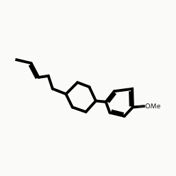 C/C=C/CCC1CCC(c2ccc(OC)cc2)CC1